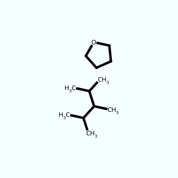 C1CCOC1.C[C](C(C)C)C(C)C